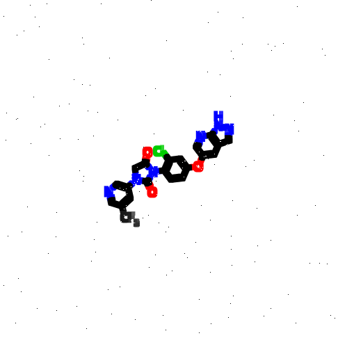 O=C1CN(c2cncc(C(F)(F)F)c2)C(=O)N1c1ccc(Oc2cnc3[nH]ncc3c2)cc1Cl